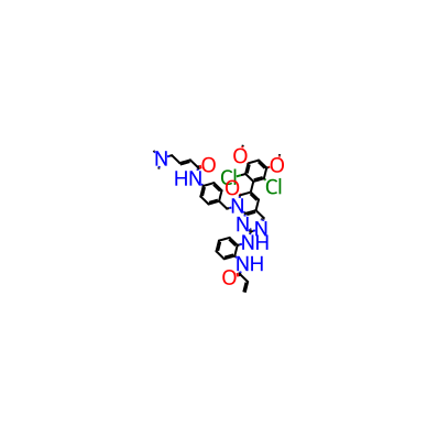 C=CC(=O)Nc1ccccc1Nc1ncc2cc(-c3c(Cl)c(OC)cc(OC)c3Cl)c(=O)n(Cc3ccc(NC(=O)/C=C/CN(C)C)cc3)c2n1